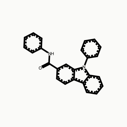 O=C(Nc1ccccc1)c1ccc2c3ccccc3n(-c3ccccc3)c2c1